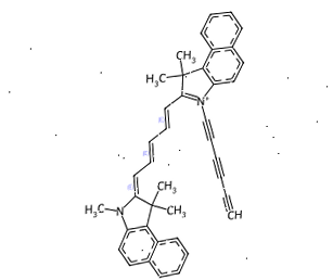 C#CC#CC#C[N+]1=C(/C=C/C=C/C=C2/N(C)c3ccc4ccccc4c3C2(C)C)C(C)(C)c2c1ccc1ccccc21